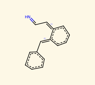 N=C/C=c1/cccc/c1=C\c1ccccc1